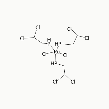 ClC(Cl)C[PH][Ru]([Cl])([Cl])([PH]CC(Cl)Cl)[PH]CC(Cl)Cl